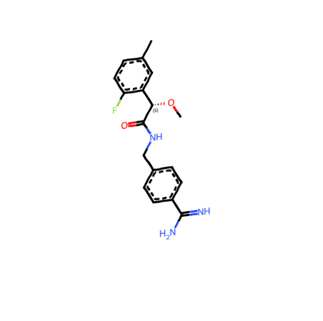 CO[C@H](C(=O)NCc1ccc(C(=N)N)cc1)c1cc(C)ccc1F